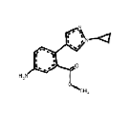 COC(=O)c1cc(N)ccc1-c1cnn(C2CC2)c1